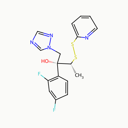 C[C@@H](SSc1ccccn1)[C@](O)(Cn1cncn1)c1ccc(F)cc1F